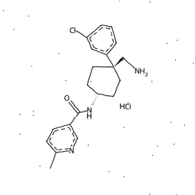 Cc1ccc(C(=O)N[C@H]2CC[C@@](CN)(c3cccc(Cl)c3)CC2)cn1.Cl